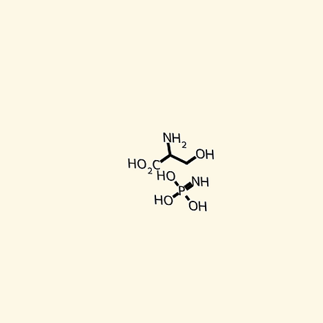 N=P(O)(O)O.NC(CO)C(=O)O